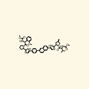 C=C1CC(c2ncc(-c3ccc4cc(-c5ccc(-c6cnc(C7CCCN7C(=O)C(NC(=O)OC)c7ccccc7OC)[nH]6)cc5)ccc4c3)[nH]2)N(C(=O)C(NC(=O)OC)C(C)C)C1